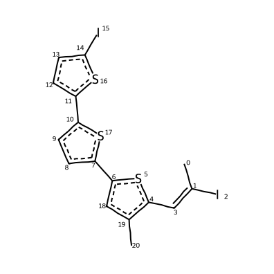 C/C(I)=C\c1sc(-c2ccc(-c3ccc(I)s3)s2)cc1C